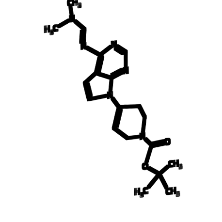 CN(C)C=Nc1ncnc2c1ccn2C1=CCN(C(=O)OC(C)(C)C)CC1